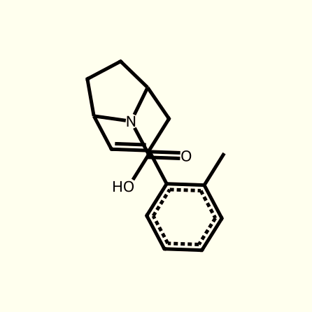 Cc1ccccc1C1=CC2CCC(C1)N2C(=O)O